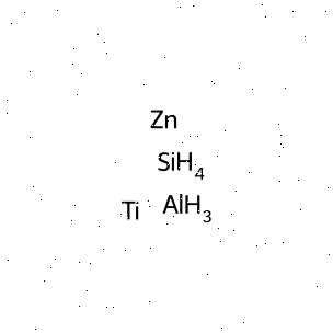 [AlH3].[SiH4].[Ti].[Zn]